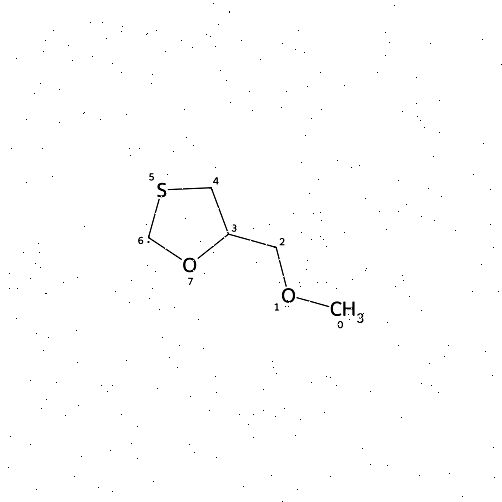 COCC1CS[CH]O1